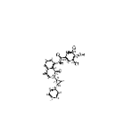 O=C(Nc1cccc2ncn([C@H]3C[C@@H]3c3ccccc3)c(=O)c12)c1cc(Cl)c(O)c(Cl)n1